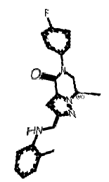 Cc1ccccc1NCc1cc2n(n1)[C@H](C)CN(c1ccc(F)cc1)C2=O